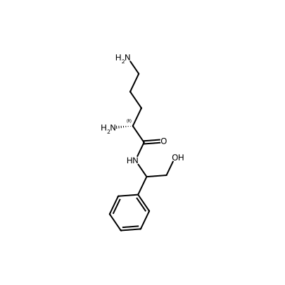 NCCC[C@@H](N)C(=O)NC(CO)c1ccccc1